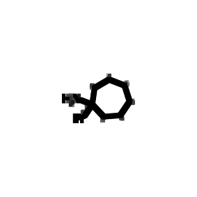 CC(C)C1(N)CCCCCC1